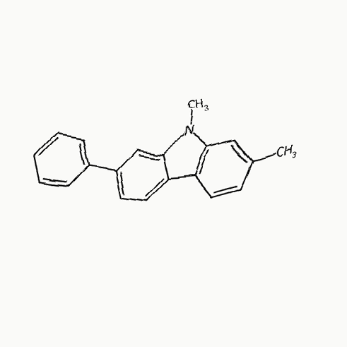 Cc1ccc2c3ccc(-c4ccccc4)cc3n(C)c2c1